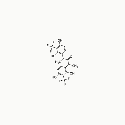 CC(C(=O)C(C)c1ccc(O)c(C(F)(F)F)c1O)c1ccc(O)c(C(F)(F)F)c1O